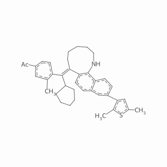 CC(=O)c1ccc(/C(=C2\CCCCCNc3c2ccc2cc(-c4cc(C)sc4C)ccc32)C2CCCCC2)c(C)c1